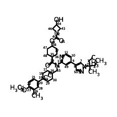 CCC(C)(CC)n1cc(-c2ccnc(N(CC34CCC(c5ccc(OC)c(C)c5)(CC3)CC4)C(=O)C3CCC(OC(=O)N4CC(O)C4)CC3)c2)cn1